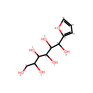 OCC(O)C(O)C(O)C(O)C(O)c1ccco1